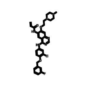 C=CC(=O)Nc1cc2c(Nc3ccc(OCc4cccc(F)c4)c(Cl)c3)ncnc2cc1OCCN1CCN(C)CC1